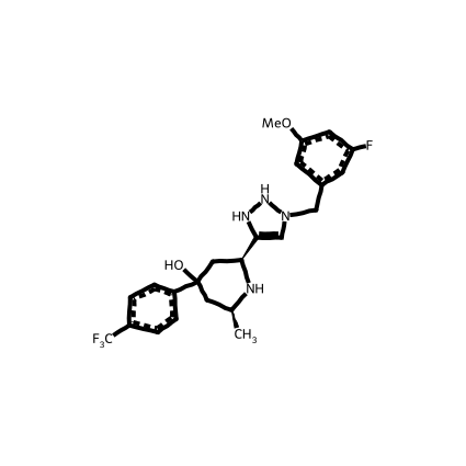 COc1cc(F)cc(CN2C=C([C@@H]3CC(O)(c4ccc(C(F)(F)F)cc4)C[C@H](C)N3)NN2)c1